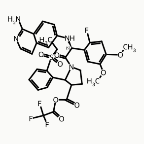 CCS(=O)(=O)c1ccccc1C1C(C(=O)OC(=O)C(F)(F)F)CCN1C(=O)[C@@H](Nc1ccc2c(N)nccc2c1)c1cc(OC)c(OC)cc1F